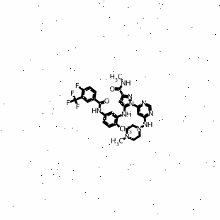 CNC(=O)c1cc(Nc2cc(NC(=O)c3ccc(F)c(C(F)(F)F)c3)ccc2C)n(-c2cc(NN3CCN(C)CC3)ncn2)n1